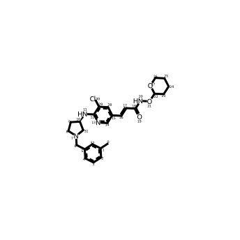 Cc1cccc(CN2CC[C@@H](Nc3ncc(/C=C/C(=O)NOC4CCCCO4)cc3Cl)C2)c1